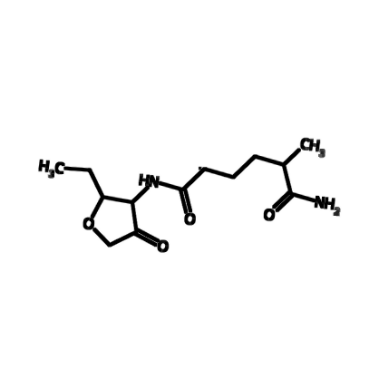 CCC1OCC(=O)C1NC(=O)[CH]CCC(C)C(N)=O